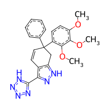 COc1ccc(C2(c3ccccc3)C=Cc3c(-c4nnn[nH]4)n[nH]c3C2)c(OC)c1OC